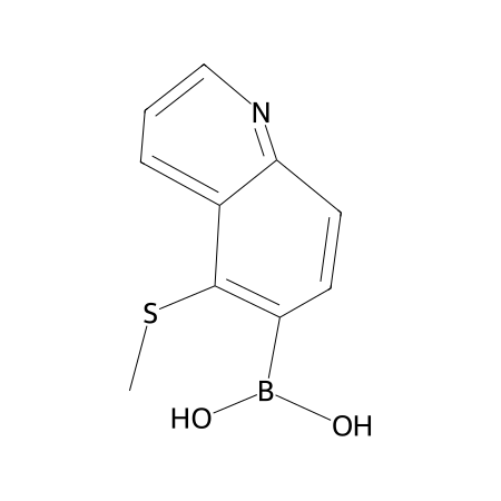 CSc1c(B(O)O)ccc2ncccc12